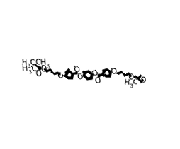 CC1(COCCCCOc2ccc(C(=O)Oc3ccc(OC(=O)c4ccc(OCCCCOC(=O)C(C)(C)C)cc4)cc3)cc2)COC1